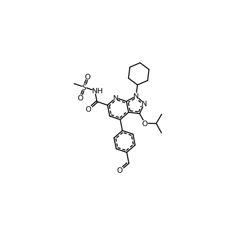 CC(C)Oc1nn(C2CCCCC2)c2nc(C(=O)NS(C)(=O)=O)cc(-c3ccc(C=O)cc3)c12